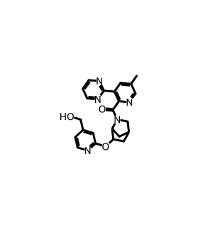 Cc1cnc(C(=O)N2CC3CC(Oc4cc(CO)ccn4)C2C3)c(-c2ncccn2)c1